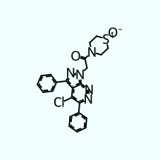 O=C(Cn1nc(-c2ccccc2)c2c(Cl)c(-c3ccccc3)nnc21)N1CC[S+]([O-])CC1